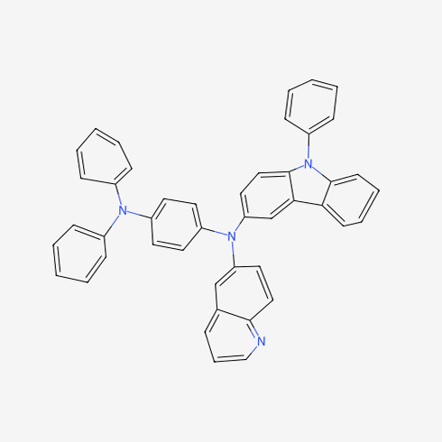 c1ccc(N(c2ccccc2)c2ccc(N(c3ccc4ncccc4c3)c3ccc4c(c3)c3ccccc3n4-c3ccccc3)cc2)cc1